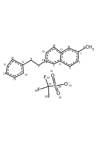 Cc1ccc2c[n+](CCc3ccccc3)ccc2c1.O=S(=O)([O-])C(F)(F)F